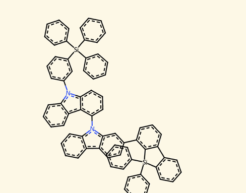 c1ccc([Si](c2ccccc2)(c2ccccc2)c2cccc(-n3c4ccccc4c4c(-n5c6ccccc6c6ccc(-c7cccc8c7[Si](c7ccccc7)(c7ccccc7)c7ccccc7-8)cc65)cccc43)c2)cc1